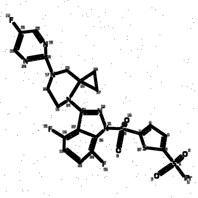 CC(C)S(=O)(=O)c1ccc(S(=O)(=O)n2nc(N3CCN(c4ncc(F)cn4)CC34CC4)c3c(F)ccc(F)c32)s1